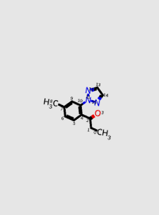 CCC(=O)c1ccc(C)cc1-n1nccn1